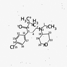 CCN(CC[C@@H](C(=O)C(C)C)c1ccc(Cl)cc1)C1CCOCC1